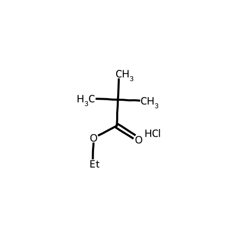 CCOC(=O)C(C)(C)C.Cl